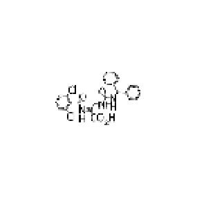 O=C(NC[C@H](NC(=O)c1c(Cl)cccc1Cl)C(=O)O)NC(c1ccccc1)c1ccccc1